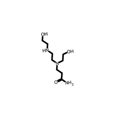 NC(=O)CCN(CCO)CCNCCO